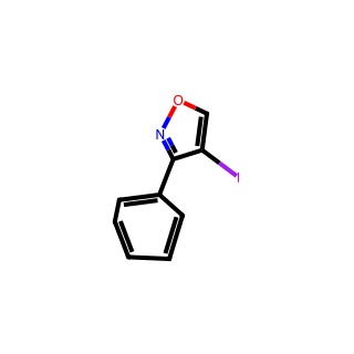 Ic1conc1-c1ccccc1